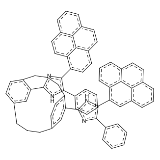 c1ccc(-c2nc(-c3cc4ccc3CCCc3ccc(cc3-c3nc(-c5ccc6ccc7cccc8ccc5c6c78)c(-c5ccccc5)[nH]3)CCC4)[nH]c2-c2cc3cccc4ccc5cccc2c5c43)cc1